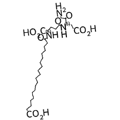 NCC(=O)[C@H](CCC(=O)O)NC(=O)CC[C@H](NC(=O)CCCCCCCCCCCCCCCCCCC(=O)O)C(=O)O